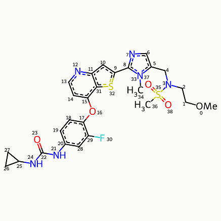 COCCN(Cc1cnc(-c2cc3nccc(Oc4ccc(NC(=O)NC5CC5)cc4F)c3s2)n1C)S(C)(=O)=O